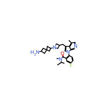 Cc1cncc2c1c(CC1CN(C3CC4(CC(N)C4)C3)C1)cn2-c1ccc(F)cc1C(=O)N(C)C(C)C